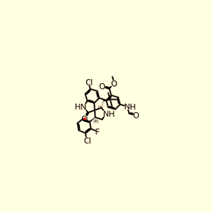 COC(=O)c1cc(NC=O)ccc1-c1cc(Cl)cc2c1C1(C(=O)N2)[C@H](CC(C)(C)C)NC[C@H]1c1cccc(Cl)c1F